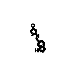 O=C1CSC(N=Cc2ccc3cc[nH]c3c2)C1